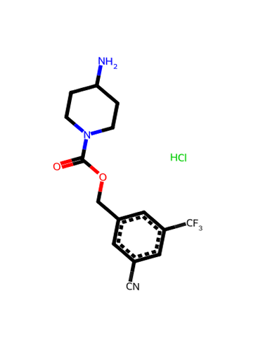 Cl.N#Cc1cc(COC(=O)N2CCC(N)CC2)cc(C(F)(F)F)c1